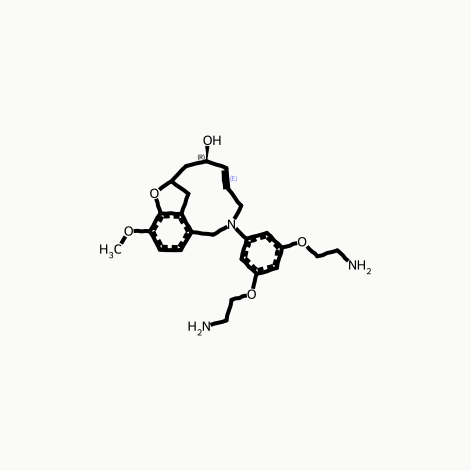 COc1ccc2c3c1OC(C3)C[C@@H](O)/C=C/CN(c1cc(OCCN)cc(OCCN)c1)C2